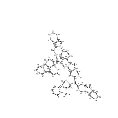 CC1(C)c2ccccc2-c2ccc(N(c3ccc4c(c3)oc3ccccc34)c3ccc4sc5c(cc6c7c5ccc5c8sc9ccccc9c8cc(c57)n6-c5ccc6c7c(cccc57)-c5ccccc5-6)c4c3)cc21